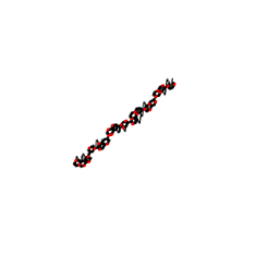 c1ccc(-c2ccc3ccc(-c4ccc5ccc(-c6ccc7ccc8c(-c9ccc(-c%10ccc%11ccc(-c%12ccc%13ccc(-c%14cccc(-c%15ccc%16ccc%17cccnc%17c%16n%15)c%14)nc%13c%12)cc%11n%10)nc9)ccnc8c7n6)nc5c4)cc3n2)nc1